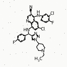 CCN1CCC(n2cc(C(Nc3cc(Cl)cc4c(Nc5ccc(F)c(Cl)c5)c(C#N)cnc34)c3ccc(F)cc3)nn2)CC1